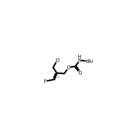 CC(C)(C)NC(=O)OC/C(=C/F)CCl